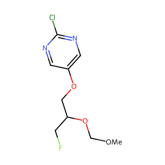 COCOC(CF)COc1cnc(Cl)nc1